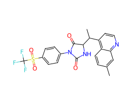 Cc1ccc2c(C(C)C3NC(=O)N(c4ccc(S(=O)(=O)C(F)(F)F)cc4)C3=O)ccnc2c1